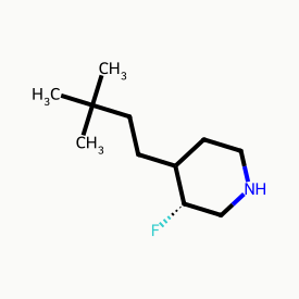 CC(C)(C)CCC1CCNC[C@@H]1F